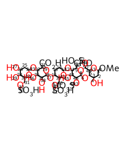 CO[C@@H]1C[C@@H](O)[C@H](O[C@@H]2OC(C=O)[C@H](O[C@H]3CC[C@H](O[C@@H]4OC(C(=O)O)[C@@H](O[C@@H]5C[C@@H](O)[C@H](O)C(COS(=O)(=O)O)O5)[C@H](O)C4O)C(COS(=O)(=O)O)O3)[C@@H](O)C2OS(=O)(=O)O)C(COS(=O)(=O)O)O1